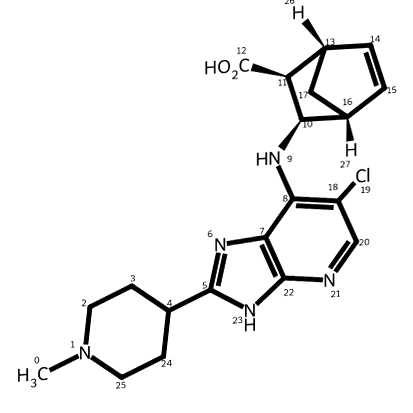 CN1CCC(c2nc3c(N[C@H]4[C@@H](C(=O)O)[C@@H]5C=C[C@H]4C5)c(Cl)cnc3[nH]2)CC1